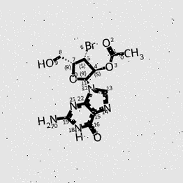 CC(=O)O[C@@H]1[C@@H](Br)[C@@H](CO)O[C@H]1n1cnc2c(=O)[nH]c(N)nc21